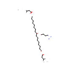 CCCCCC(CCCCC)CC(=O)OCCCCCCCCC(CCCCCCCCOC(=O)CC(CCCCC)CCCCC)OCCCCN(C)CC